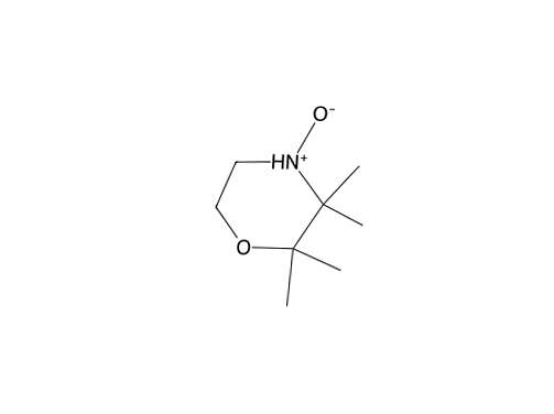 CC1(C)OCC[NH+]([O-])C1(C)C